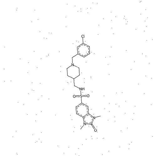 Cn1c(=O)n(C)c2cc(S(=O)(=O)NCC3CCN(Cc4cccc(Cl)c4)CC3)ccc21